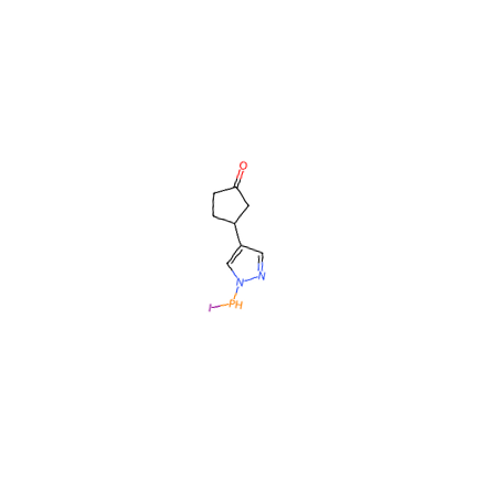 O=C1CCC(c2cnn(PI)c2)C1